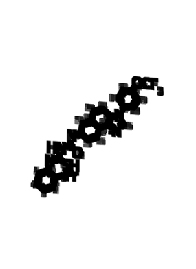 CC(C)c1ccccc1/N=C(\S)NC(=O)/N=C1\C=CC2C(=C1)C=Cc1c2ncn1-c1ccc(OC(F)(F)F)cc1